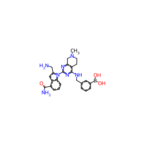 CN1CCc2c(nc(-n3c(CN)cc4c(C(N)=O)cccc43)nc2NCc2cccc(B(O)O)c2)C1